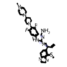 C=C/C(=C/N=C(\N=C\N)Nc1cc(F)c(N2CCC(N3CCN(C)CC3)CC2)c(F)c1)c1ccc2nccnc2c1SC